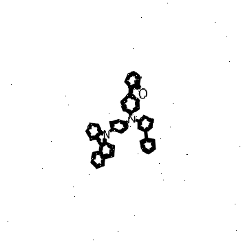 c1ccc(-c2cccc(N(c3ccc(-n4c5ccccc5c5c6ccccc6ccc54)cc3)c3ccc4c(c3)oc3ccccc34)c2)cc1